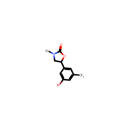 CCN1CC(c2cc(Br)cc(C(F)(F)F)c2)OC1=O